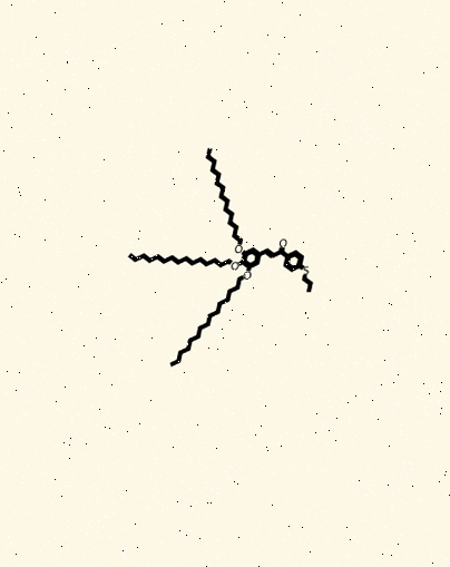 CCCCCCCCCCCCCCCOc1cc(C=CC(=O)c2ccc(SCCC)cc2)cc(OCCCCCCCCCCCCCCC)c1OCCCCCCCCCCCCCCC